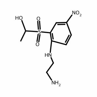 CC(O)S(=O)(=O)c1cc([N+](=O)[O-])ccc1NCCN